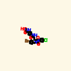 O=C(CCC1C(=O)N(c2ccc(Cl)cc2)C(=O)N1Cc1ccc(Br)cc1)Nc1ccc(C(=O)NO)cc1